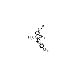 CC(COc1ccc(C(F)(F)F)cc1)NC(C)C1=CC=C(OCC2CC2)CC1